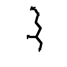 CC(=O)SCCC(F)CF